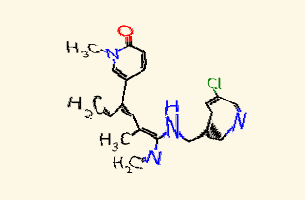 C=C/C(=C\C(C)=C(\N=C)NCc1cncc(Cl)c1)c1ccc(=O)n(C)c1